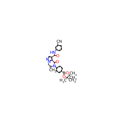 C[C@H]1Cn2ncc(C(=O)Nc3cccc(C#N)c3)c2C(=O)N1c1ccc(B2OC(C)(C)C(C)(C)O2)cc1